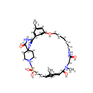 Cc1cc2ccc1CCS(=O)(=O)N1CCC3(CC1)N=C(NC3=O)c1cc(cc(C(F)(F)F)c1)OCCCCCNC(=O)CN(C)C2=O